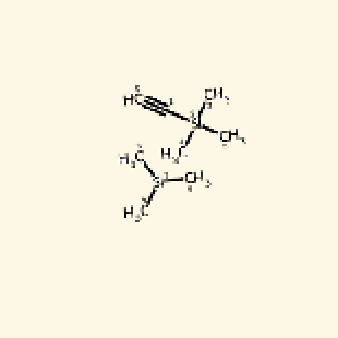 C#C[Si](C)(C)C.C[Si](C)C